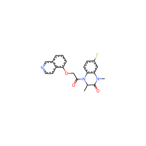 CC1C(=O)N(C)c2cc(F)ccc2N1C(=O)COc1cccc2cnccc12